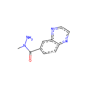 CN(N)C(=O)c1ccc2nccnc2c1